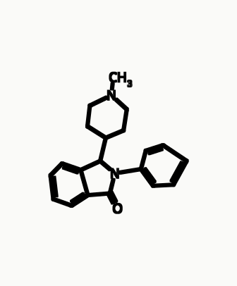 CN1CCC(C2c3ccccc3C(=O)N2c2ccccc2)CC1